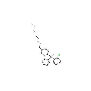 CCCCCCCCCc1ccc(C(C)(c2ccccc2)c2ccccc2Cl)cc1